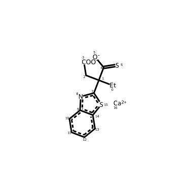 CCC(CC(=O)[O-])(C([O-])=S)c1nc2ccccc2s1.[Ca+2]